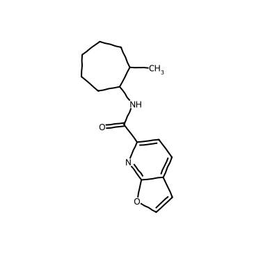 CC1CCCCCC1NC(=O)c1ccc2ccoc2n1